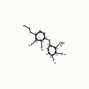 CCCc1ccc(Cc2ccc(F)c(F)c2O)c(F)c1F